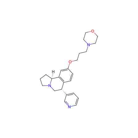 c1cncc([C@@H]2CN3CCC[C@H]3c3cc(OCCCN4CCOCC4)ccc32)c1